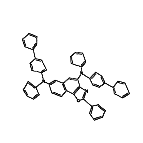 c1ccc(-c2ccc(N(c3ccccc3)c3ccc4c(c3)cc(N(c3ccccc3)c3ccc(-c5ccccc5)cc3)c3nc(-c5ccccc5)oc34)cc2)cc1